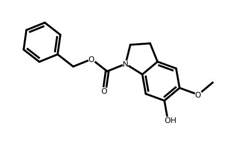 COc1cc2c(cc1O)N(C(=O)OCc1ccccc1)CC2